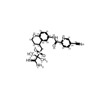 CC(C)(C(=N)N)S(=O)(=O)CC1CCOc2ccc(NC(=O)c3ccc(C#N)cn3)cc21